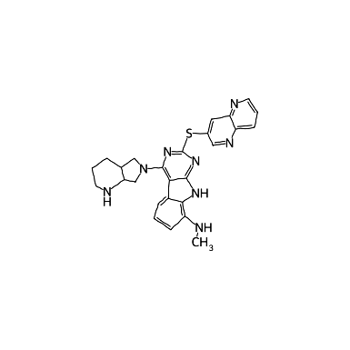 CNc1cccc2c1[nH]c1nc(Sc3cnc4cccnc4c3)nc(N3CC4CCCNC4C3)c12